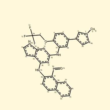 Cn1cc(-c2ccc(OCC(F)(F)F)c(Nc3nc(Nc4ccc5nccnc5c4P=O)c4cc[nH]c4n3)c2)cn1